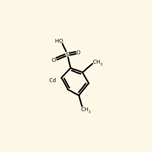 Cc1ccc(S(=O)(=O)O)c(C)c1.[Cd]